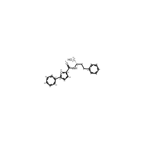 O=C(N[C@@H](CCc1ccccc1)C(=O)O)c1ccc(-c2ccccc2)o1